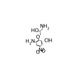 Cl.NCC(O)COc1ccc([N+](=O)[O-])cc1N